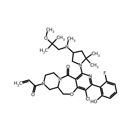 C=CC(=O)N1CCN2C(=O)c3c(N4CC(N(C)CC(C)(C)OC)CC4(C)C)nc(-c4c(O)cccc4F)c(Cl)c3OCC2C1